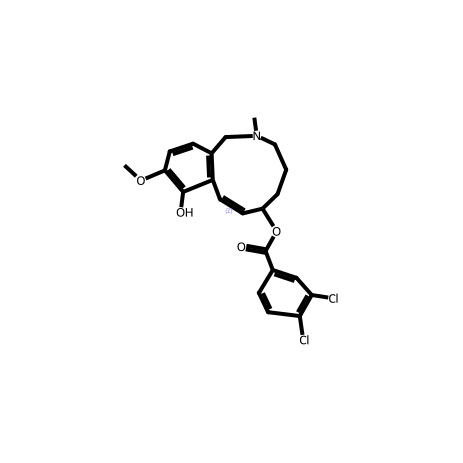 COc1ccc2c(c1O)/C=C\C(OC(=O)c1ccc(Cl)c(Cl)c1)CCCN(C)C2